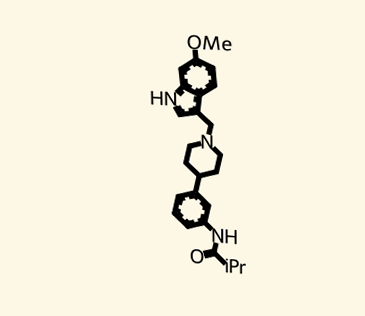 COc1ccc2c(CN3CCC(c4cccc(NC(=O)C(C)C)c4)CC3)c[nH]c2c1